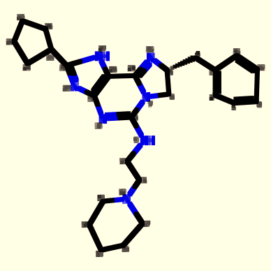 c1ccc(C[C@@H]2CN3C(NCCN4CCCCC4)=Nc4nc(C5CCCC5)[nH]c4C3=N2)cc1